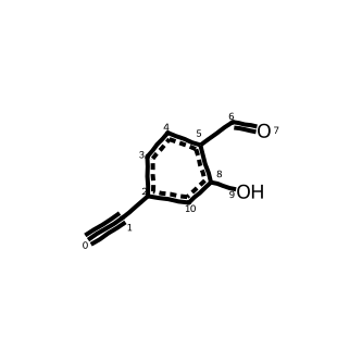 C#Cc1ccc(C=O)c(O)c1